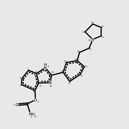 NC(=O)Oc1cccc2[nH]c(-c3cccc(CCN4CCCC4)c3)nc12